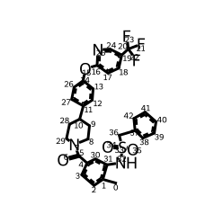 Cc1ccc(C(=O)N2CCC(c3ccc(Oc4ccc(C(F)(F)F)cn4)cc3)CC2)cc1NS(=O)(=O)Cc1ccccc1